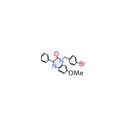 COc1ccc2nc(-c3ccccc3)c(=O)n(Cc3ccc(Br)cc3)c2c1